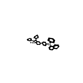 c1ccc(-c2[nH]c3ccc(-c4ccc(N(c5ccccc5)c5cccc6ccccc56)cc4)cc3c2-c2ccccc2)cc1